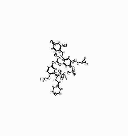 COc1ccc(OC(=O)OC(Cc2c(Cl)c[n+]([O-])cc2Cl)c2ccc(OC(F)F)c(OCC3CC3)c2)cc1N(CCN1CCOCC1)S(C)(=O)=O